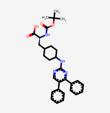 CC(C)(C)OC(=O)N[C@@H](CC1CCC(Nc2ncc(-c3ccccc3)c(-c3ccccc3)n2)CC1)C(=O)O